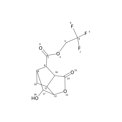 O=C(OCC(F)(F)F)C1C2CC3C(OC(=O)C31)C2O